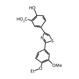 CCOc1ccc(-c2nc(-c3ccc(O)c(C(=O)O)c3)cs2)cc1OC